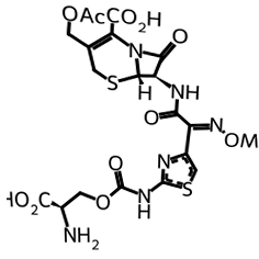 CON=C(C(=O)N[C@@H]1C(=O)N2C(C(=O)O)=C(COC(C)=O)CS[C@@H]12)c1csc(NC(=O)OC[C@@H](N)C(=O)O)n1